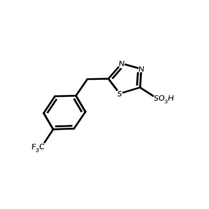 O=S(=O)(O)c1nnc(Cc2ccc(C(F)(F)F)cc2)s1